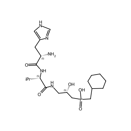 CC(C)[C@H](NC(=O)[C@@H](N)Cc1c[nH]cn1)C(=O)NC[C@H](O)CP(=O)(O)CC1CCCCC1